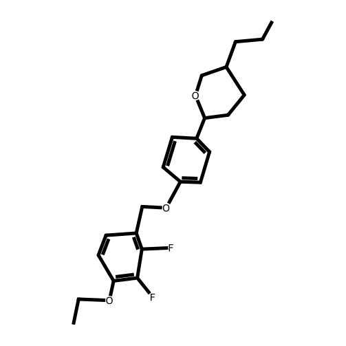 CCCC1CCC(c2ccc(OCc3ccc(OCC)c(F)c3F)cc2)OC1